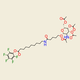 CC(=O)N[C@H]1[C@H](OCCCCC(=O)NCCCCCCCCCC(=O)Oc2c(F)c(F)c(F)c(F)c2F)O[C@H](COC(C)=O)[C@H](OC(C)=O)[C@@H]1OC(C)=O